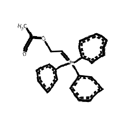 CC(=O)OCC=P(c1ccccc1)(c1ccccc1)c1ccccc1